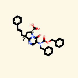 C[C@@]1(C/C=C/c2ccccc2)C[C@@H](C(=O)O)n2c1ncc(N(Cc1ccccc1)C(=O)OCc1ccccc1)c2=O